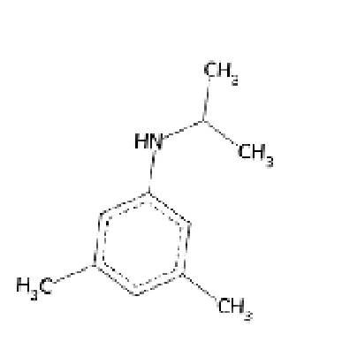 Cc1cc(C)cc(NC(C)C)c1